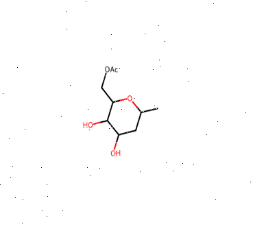 CC(=O)OCC1OC(C)CC(O)C1O